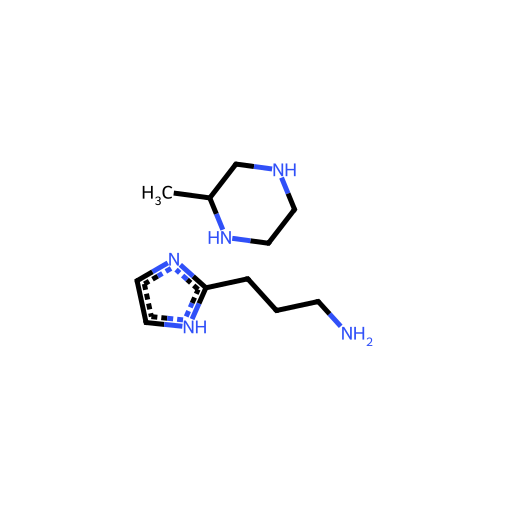 CC1CNCCN1.NCCCc1ncc[nH]1